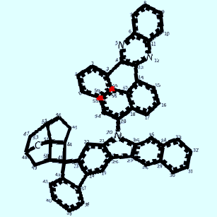 c1ccc(-c2nc3ccccc3nc2-c2cccc3c(-n4c5cc6c(cc5c5cc7ccccc7cc54)-c4ccccc4C64C5CC6CC7CC4C5(C6)C7)cccc23)cc1